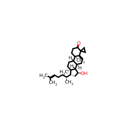 CC(C)=CCC[C@@H](C)[C@H]1C[C@H](O)[C@H]2[C@@H]3CC=C4C5(CC5)C(=O)CC[C@]4(C)[C@H]3CC[C@@]21C